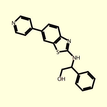 OCC(Nc1nc2ccc(-c3ccncc3)cc2s1)c1ccccc1